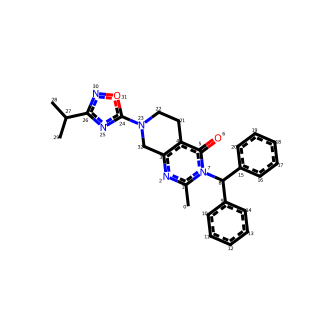 Cc1nc2c(c(=O)n1C(c1ccccc1)c1ccccc1)CCN(c1nc(C(C)C)no1)C2